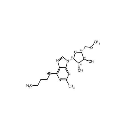 CCCCNc1nc(C)nc2c1ncn2[C@@H]1O[C@H](COC)[C@@H](O)[C@H]1O